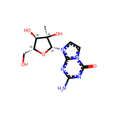 C[C@@]1(O)[C@H](O)[C@@H](CO)O[C@H]1n1ccn2c(=O)nc(N)nc12